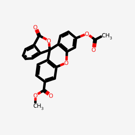 COC(=O)c1ccc2c(c1)Oc1cc(OC(C)=O)ccc1C21OC(=O)c2ccccc21